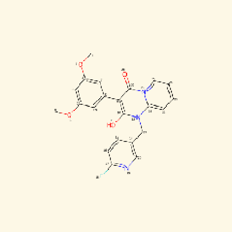 COc1cc(OC)cc(-c2c(O)n(Cc3ccc(F)nc3)c3cccc[n+]3c2=O)c1